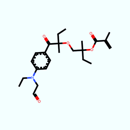 C=C(C)C(=O)OC(C)(CC)COC(C)(CC)C(=O)c1ccc(N(CC)CC=O)cc1